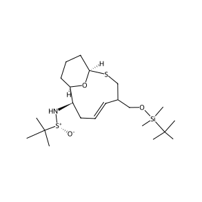 CC(C)(C)[S@@+]([O-])N[C@@H]1C/C=C/C(CO[Si](C)(C)C(C)(C)C)CS[C@@H]2CCC[C@H]1O2